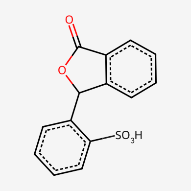 O=C1OC(c2ccccc2S(=O)(=O)O)c2ccccc21